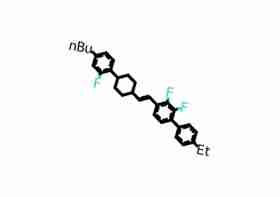 CCCCc1ccc(C2CCC(/C=C/c3ccc(-c4ccc(CC)cc4)c(F)c3F)CC2)c(F)c1